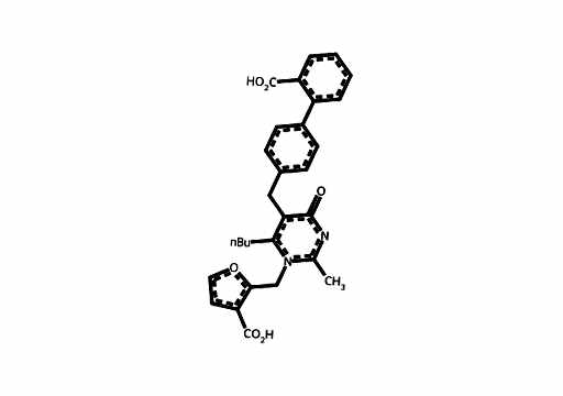 CCCCc1c(Cc2ccc(-c3ccccc3C(=O)O)cc2)c(=O)nc(C)n1Cc1occc1C(=O)O